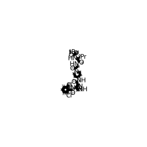 CC(C)[C@H](NC(=O)OC(C)(C)C)C(=O)NCC(=O)N1CCC(NC(=O)c2n[nH]cc2NC(=O)c2c(Cl)cccc2Cl)CC1